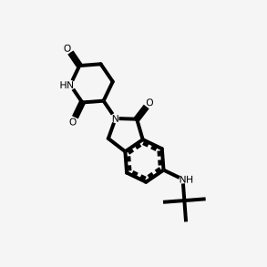 CC(C)(C)Nc1ccc2c(c1)C(=O)N(C1CCC(=O)NC1=O)C2